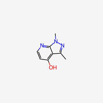 Cc1nn(C)c2nccc(O)c12